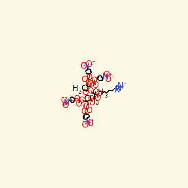 CC(COC(=O)Oc1ccc([N+](=O)[O-])cc1)(COC(=O)Oc1ccc([N+](=O)[O-])cc1)C(=O)OCC(C)(COC(=O)C(C)(COC(=O)Oc1ccc([N+](=O)[O-])cc1)COC(=O)Oc1ccc([N+](=O)[O-])cc1)C(=O)OCCCCCCN=[N+]=[N-]